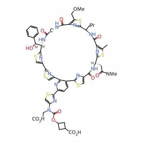 CNC(=O)C[C@@H]1NC(=O)c2csc(n2)-c2ccc(-c3nc(N(CC(=O)O)C(=O)OC4CC(C(=O)O)C4)cs3)nc2-c2csc(n2)-c2csc(n2)[C@H]([C@@H](O)c2ccccc2)NC(=O)CNC(=O)c2nc(sc2COC)C(C(C)C)NC(=O)c2nc1sc2C